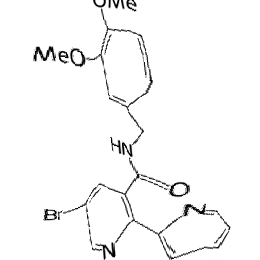 COc1ccc(CNC(=O)c2cc(Br)cnc2-c2ccccn2)cc1OC